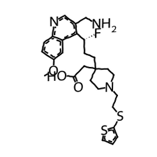 COc1ccc2ncc(CN)c([C@H](F)CCC3(CC(=O)O)CCN(CCSc4cccs4)CC3)c2c1